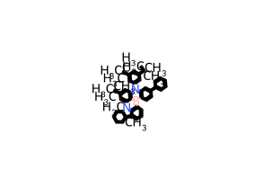 CC(C)(C)c1cc(N2c3cc(-c4ccccc4)ccc3B3c4cccc5c4N(c4cc(C(C)(C)C)cc2c43)C2(C)CCCCC52C)cc(C(C)(C)C)c1